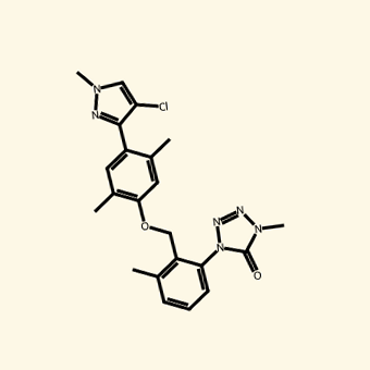 Cc1cc(-c2nn(C)cc2Cl)c(C)cc1OCc1c(C)cccc1-n1nnn(C)c1=O